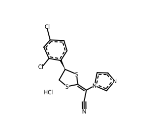 Cl.N#CC(=C1SC[C@@H](c2ccc(Cl)cc2Cl)S1)n1ccnc1